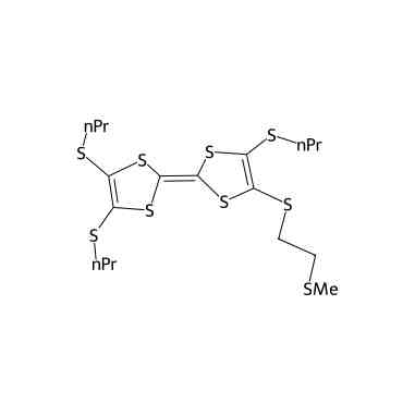 CCCSC1=C(SCCC)SC(=C2SC(SCCC)=C(SCCSC)S2)S1